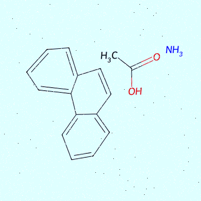 CC(=O)O.N.c1ccc2c(c1)ccc1ccccc12